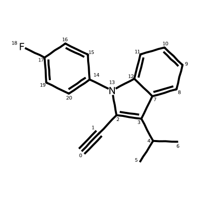 C#Cc1c(C(C)C)c2ccccc2n1-c1ccc(F)cc1